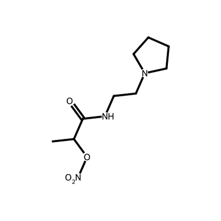 CC(O[N+](=O)[O-])C(=O)NCCN1CCCC1